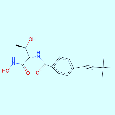 C[C@@H](O)[C@H](NC(=O)c1ccc(C#CC(C)(C)C)cc1)C(=O)NO